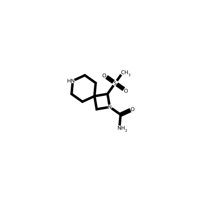 CS(=O)(=O)C1N(C(N)=O)CC12CCNCC2